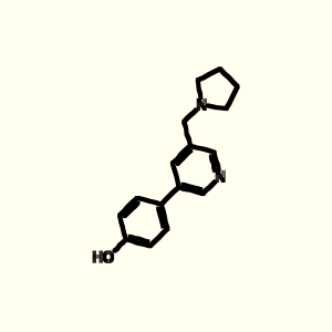 Oc1ccc(-c2cncc(CN3CCCC3)c2)cc1